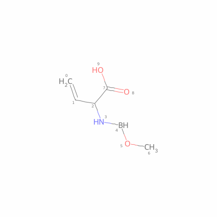 C=CC(NBOC)C(=O)O